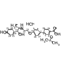 CC(C)Oc1cc(-c2ccc(OCCN[C@@H](C)[C@@H](O)c3ccc(O)cc3)cc2)ccc1C(=O)O.Cl